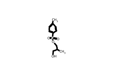 Cc1ccc(S(=O)(=O)OCC(C)CO)cc1